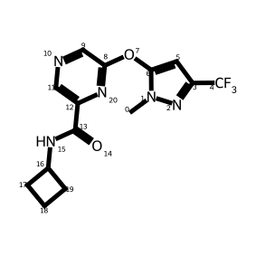 Cn1nc(C(F)(F)F)cc1Oc1cncc(C(=O)NC2CCC2)n1